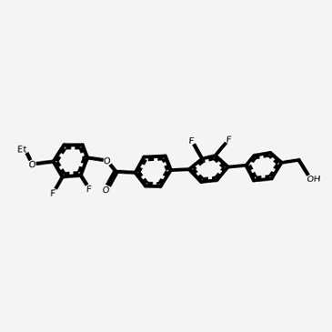 CCOc1ccc(OC(=O)c2ccc(-c3ccc(-c4ccc(CO)cc4)c(F)c3F)cc2)c(F)c1F